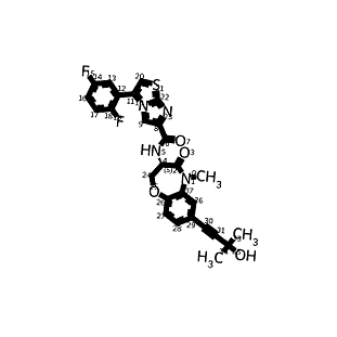 CN1C(=O)[C@@H](NC(=O)c2cn3c(-c4cc(F)ccc4F)csc3n2)COc2ccc(C#CC(C)(C)O)cc21